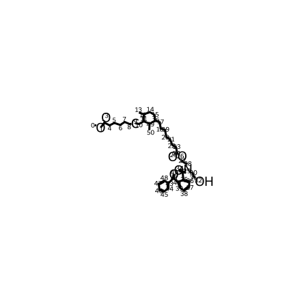 COC(=O)CCCCCCCC1C(C)CCC(CCCCCCCC(=O)OCCN(CCO)C(=O)c2ccccc2C(=O)c2ccccc2)C1C